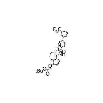 CC(C)(C)OC(=O)COc1cccc2c1CCCCC2NS(=O)(=O)c1ccc(-c2cccc(C(F)(F)F)c2)cn1